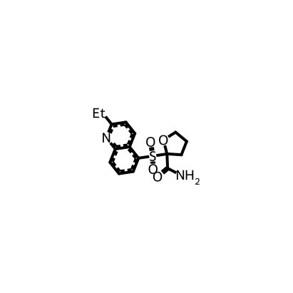 CCc1ccc2c(S(=O)(=O)C3(C(N)=O)CCCO3)cccc2n1